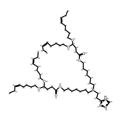 CC/C=C\CCCCOC(CCC(=O)OCCCCCCCN(CCCCCCCOC(=O)CCC(OCCCC/C=C\CC)OCCCC/C=C\CC)CCc1nnc[nH]1)OCCCC/C=C\CC